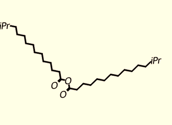 CC(C)CCCCCCCCCCCC(=O)OC(=O)CCCCCCCCCCCC(C)C